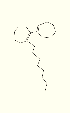 CCCCCCCCC1=C(C2=CCCCCC2)CCCCC1